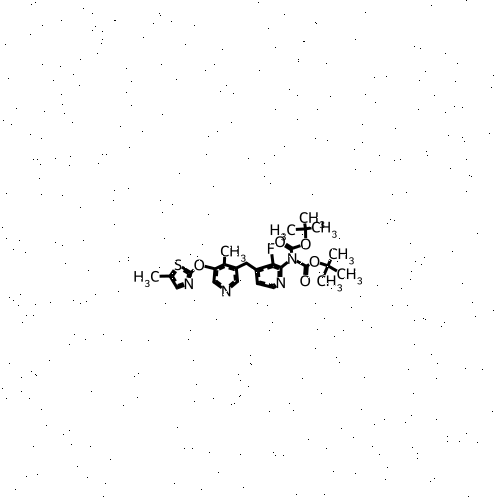 Cc1cnc(Oc2cncc(Cc3ccnc(N(C(=O)OC(C)(C)C)C(=O)OC(C)(C)C)c3F)c2C)s1